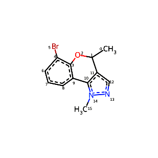 CC1Oc2c(Br)cccc2-c2c1cnn2C